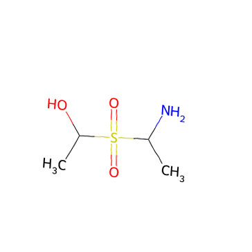 CC(N)S(=O)(=O)C(C)O